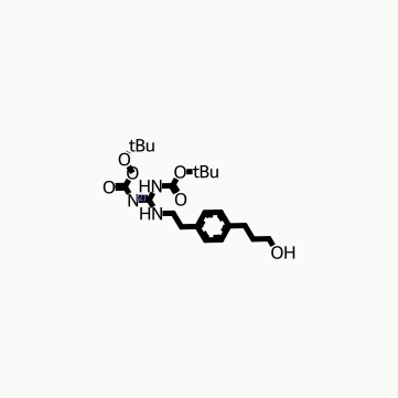 CC(C)(C)OOC(=O)/N=C(/NCCc1ccc(CCCO)cc1)NC(=O)OC(C)(C)C